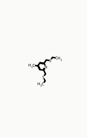 CCSCc1cc(C)cc(CSCC)n1